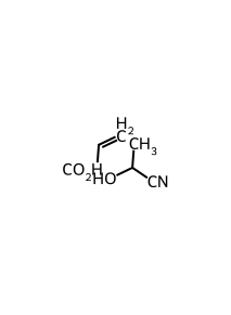 C=CC(=O)O.CC(O)C#N